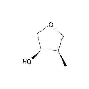 C[C@@H]1COC[C@@H]1O